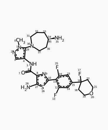 Cn1ncc(NC(=O)c2nc(-c3c(F)cc(C4(F)CCOCC4)cc3F)sc2N)c1N1CCC[C@@H](N)CC1